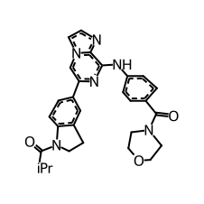 CC(C)C(=O)N1CCc2cc(-c3cn4ccnc4c(Nc4ccc(C(=O)N5CCOCC5)cc4)n3)ccc21